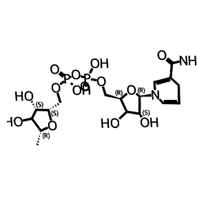 C[C@H]1O[C@@H](COP(=O)(O)OP(=O)(O)OC[C@H]2O[C@@H](N3C=CCC(C(N)=O)=C3)[C@@H](O)C2O)[C@@H](O)C1O